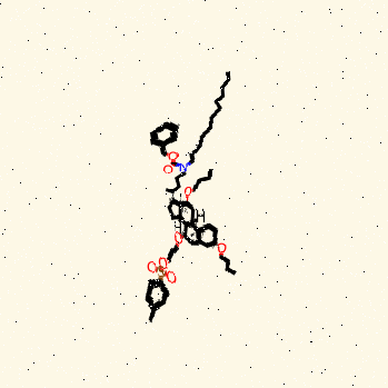 CCCCCCCCCCCCN(CCCC(C)[C@H]1CC[C@H]2C3[C@H](OCCCOS(=O)(=O)c4ccc(C)cc4)CC4C[C@H](OCCCC)CC[C@]4(C)[C@H]3C[C@H](OCCCC)[C@]12C)C(=O)OCc1ccccc1